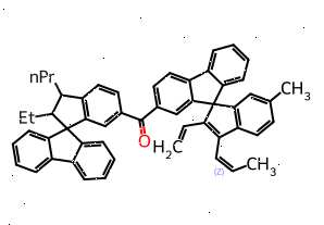 C=CC1=C(/C=C\C)c2ccc(C)cc2C12c1ccccc1-c1ccc(C(=O)c3ccc4c(c3)C3(c5ccccc5-c5ccccc53)C(CC)C4CCC)cc12